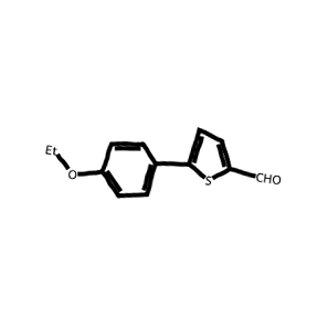 CCOc1ccc(-c2ccc(C=O)s2)cc1